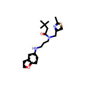 Cc1nc(CN(CCCNc2ccc3occc3c2)C(=O)CC(C)(C)C)cs1